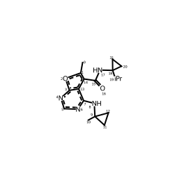 Cc1oc2ncnc(NC3(C)CC3)c2c1C(=O)NC1(C(C)C)CC1